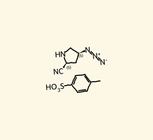 Cc1ccc(S(=O)(=O)O)cc1.N#C[C@@H]1C[C@H](N=[N+]=[N-])CN1